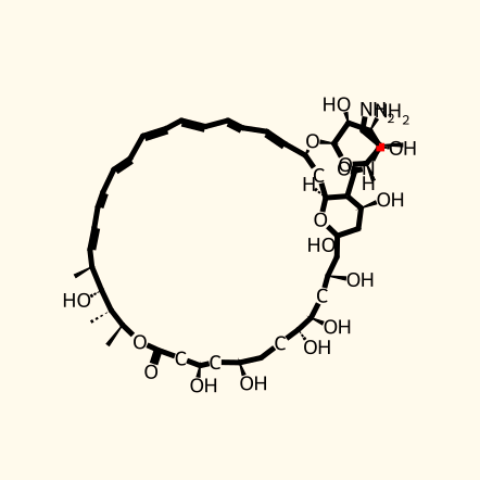 C[C@@H]1[C@H](O)[C@@H](C)/C=C/C=C/C=C/C=C/C=C/C=C/C=C/[C@H](O[C@@H]2O[C@H](C)[C@@H](O)[C@H](N)[C@@H]2O)C[C@@H]2O[C@](O)(C[C@@H](O)C[C@@H](O)[C@H](O)CC[C@@H](O)C[C@@H](O)CC(=O)O[C@H]1C)C[C@H](O)C2C(=O)N[C@H](C)CN